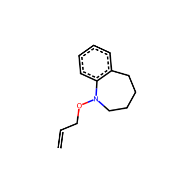 C=CCON1CCCCc2ccccc21